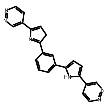 C1=C(c2ccnnc2)N=C(c2cccc(-c3ccc(-c4ccnnc4)[nH]3)c2)C1